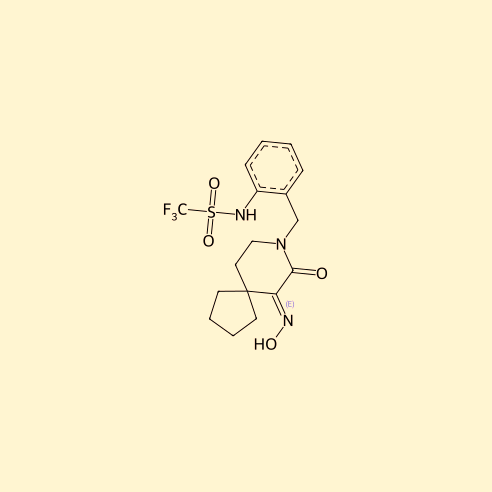 O=C1/C(=N/O)C2(CCCC2)CCN1Cc1ccccc1NS(=O)(=O)C(F)(F)F